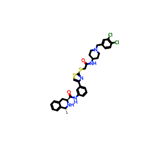 C[C@H]1N[C@H](C(=O)Nc2cccc(-c3csc(SCC(=O)NC4CCN(Cc5ccc(Cl)c(Cl)c5)CC4)n3)c2)Cc2ccccc21